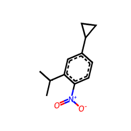 C[C](C)c1cc(C2CC2)ccc1[N+](=O)[O-]